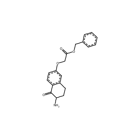 NC1CCc2cc(OCC(=O)OCc3ccccc3)ccc2C1=O